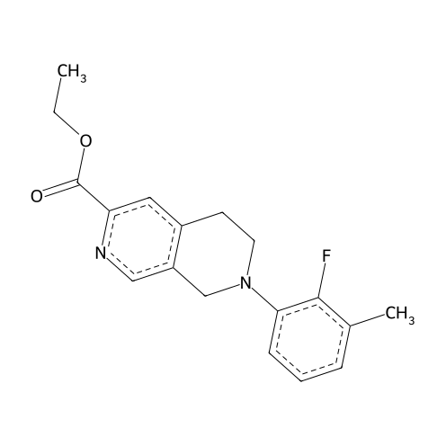 CCOC(=O)c1cc2c(cn1)CN(c1cccc(C)c1F)CC2